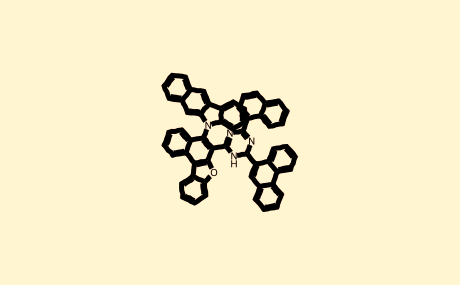 c1ccc2cc3c(cc2c1)c1ccccc1n3-c1c(C2=NC(c3cccc4ccccc34)=NC(c3cc4ccccc4c4ccccc34)N2)c2oc3ccccc3c2c2ccccc12